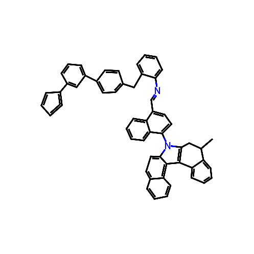 CC1Cc2c(c3c4ccccc4ccc3n2-c2ccc(/C=N/c3ccccc3Cc3ccc(-c4cccc(C5=C=CC=C5)c4)cc3)c3ccccc23)-c2ccccc21